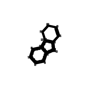 C1=Cc2nc3ccccc3n2CC1